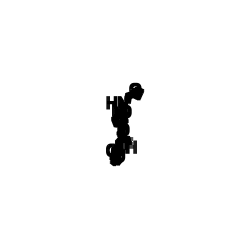 CC(C)(C)OC(=O)NCC(=CF)COc1ccc2nc(NCCC3CCO3)oc2c1